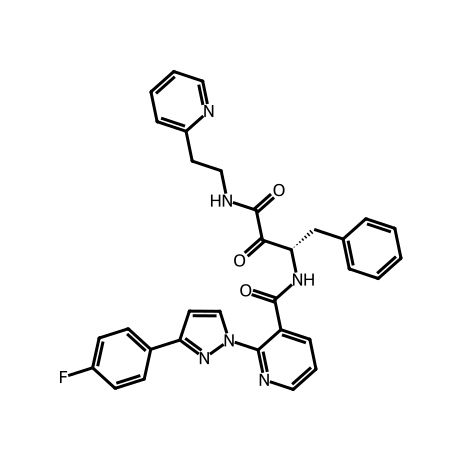 O=C(NCCc1ccccn1)C(=O)[C@H](Cc1ccccc1)NC(=O)c1cccnc1-n1ccc(-c2ccc(F)cc2)n1